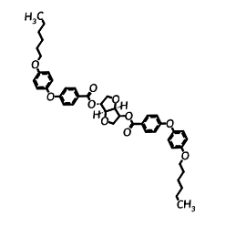 CCCCCCOc1ccc(Oc2ccc(C(=O)O[C@H]3CO[C@@H]4[C@H]3OC[C@H]4OC(=O)c3ccc(Oc4ccc(OCCCCCC)cc4)cc3)cc2)cc1